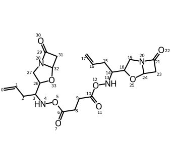 C=CCC(NOC(=O)CCC(=O)ONC(CC=C)C1CN2C(=O)CC2O1)C1CN2C(=O)CC2O1